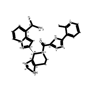 Cc1ncccc1-c1nnc(C(=O)N2CCc3[nH]cnc3[C@@H]2c2cc3c(C(F)P)cccn3n2)o1